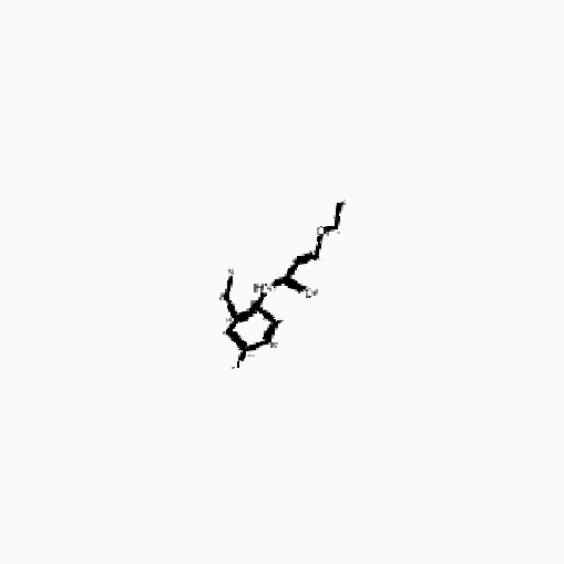 CCOC=CC(=O)Nc1ccc(I)cc1CC